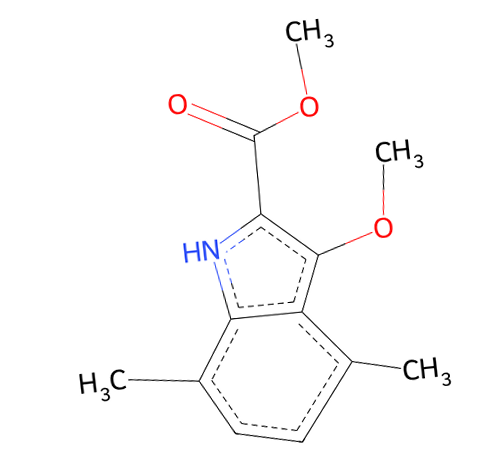 COC(=O)c1[nH]c2c(C)ccc(C)c2c1OC